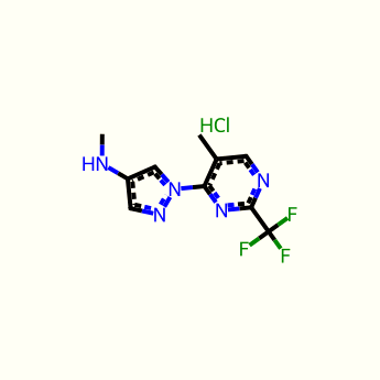 CNc1cnn(-c2nc(C(F)(F)F)ncc2C)c1.Cl